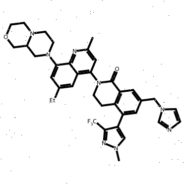 CCc1cc(N2CCN3CCOCC3C2)c2nc(C)cc(N3CCc4c(cc(Cn5ccnc5)cc4-c4cn(C)nc4C(F)(F)F)C3=O)c2c1